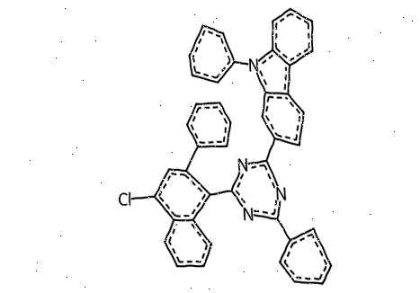 Clc1cc(-c2ccccc2)c(-c2nc(-c3ccccc3)nc(-c3ccc4c5ccccc5n(-c5ccccc5)c4c3)n2)c2ccccc12